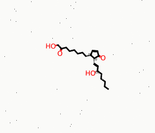 CCCCC[C@H](O)C=C[C@H]1C(=O)C=C[C@@H]1CCCCCCC(=O)CO